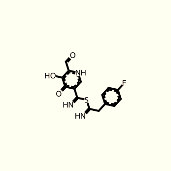 N=C(Cc1ccc(F)cc1)SC(=N)c1c[nH]c(C=O)c(O)c1=O